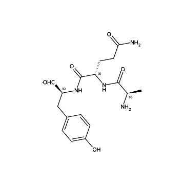 C[C@@H](N)C(=O)N[C@@H](CCC(N)=O)C(=O)N[C@H]([C]=O)Cc1ccc(O)cc1